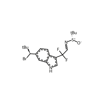 CC(C)(C)[C@H](Br)c1ccc2c(C(F)(F)C=N[S@@+]([O-])C(C)(C)C)c[nH]c2c1